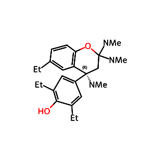 CCc1ccc2c(c1)[C@](NC)(c1cc(CC)c(O)c(CC)c1)CC(NC)(NC)O2